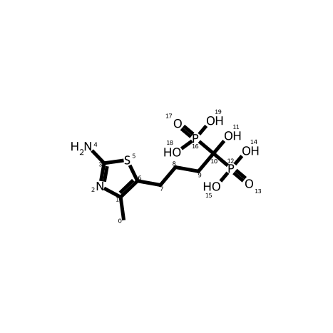 Cc1nc(N)sc1CCCC(O)(P(=O)(O)O)P(=O)(O)O